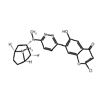 CN(c1ccc(-c2cc3oc(Cl)cc(=O)c3cc2O)nn1)[C@H]1C[C@@H]2CC[C@H]([C@H]1F)N2C